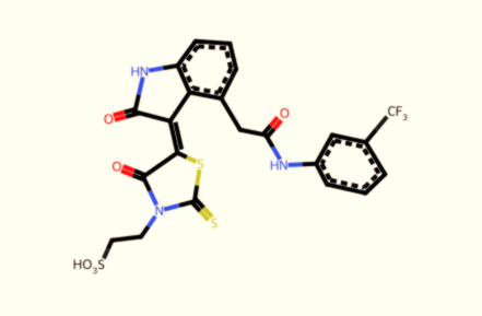 O=C(Cc1cccc2c1C(=C1SC(=S)N(CCS(=O)(=O)O)C1=O)C(=O)N2)Nc1cccc(C(F)(F)F)c1